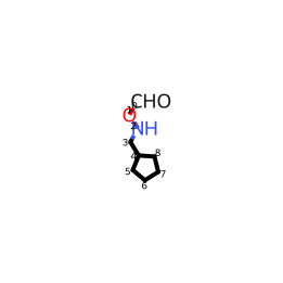 O=CONCC1CCCC1